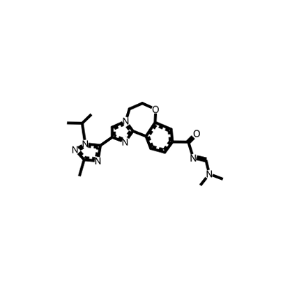 Cc1nc(-c2cn3c(n2)-c2ccc(C(=O)N=CN(C)C)cc2OCC3)n(C(C)C)n1